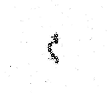 COc1cc2nc([C@H]3CC[C@H](CN4CCC(CCNc5cccc6c5C(=O)N(C5CCC(=O)NC5O)C6=O)CC4)CC3)oc2cc1NC(=O)c1cnn2cccnc12